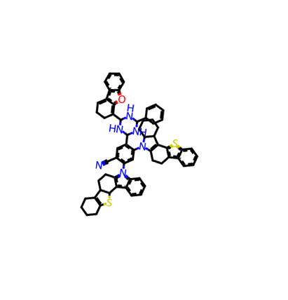 N#Cc1cc(C2NC(C3=c4oc5ccccc5c4=CCC3)NC(C3C=CC=CC3)N2)c(N2C3=C(c4sc5ccccc5c4CC3)C3CCCCC32)cc1-n1c2c(c3ccccc31)C1SC3=C(CCCC3)C1CC2